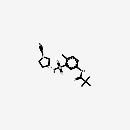 Cc1ccc(NC(=O)C(C)(C)C)cc1S(=O)(=O)N[C@@H]1CCN(C#N)C1